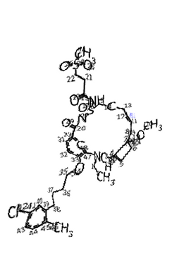 CCN1C[C@@H]2CC[C@H]2[C@@H](OC)/C=C/CCCS(=O)(NC(=O)CCS(C)(=O)=O)=NC(=O)c2ccc(OCCCCc3cc(Cl)ccc3C)c1c2